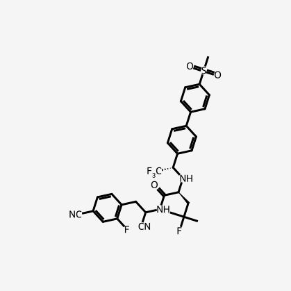 CC(C)(F)C[C@H](N[C@@H](c1ccc(-c2ccc(S(C)(=O)=O)cc2)cc1)C(F)(F)F)C(=O)NC(C#N)Cc1ccc(C#N)cc1F